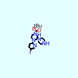 C1CNCCN1.CC(C)(C)OC(=O)N1CCN(c2ccc(I)cn2)CC1